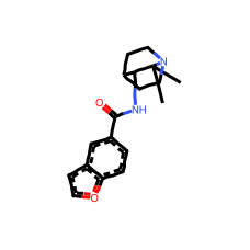 CC1(C)C(NC(=O)c2ccc3occc3c2)C2CCN1CC2